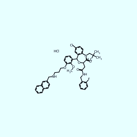 COc1c(OCCCNCc2ccc3ccccc3c2)cccc1C1OC(CC(=O)NCc2ccccc2F)C(=O)N(CC(C)(C)C)c2ccc(Cl)cc21.Cl